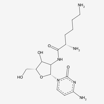 NCCCC[C@H](N)C(=O)NC1C(O)[C@@H](CO)O[C@H]1n1ccc(N)nc1=O